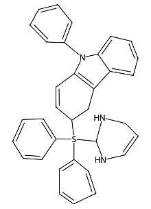 C1=CNC(S(c2ccccc2)(c2ccccc2)C2C=Cc3c(c4ccccc4n3-c3ccccc3)C2)NC1